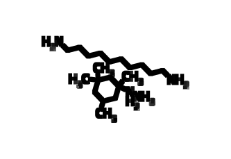 CC1CC(C)(C)CC(C)(N)C1.N.NCCCCCCCCCCN